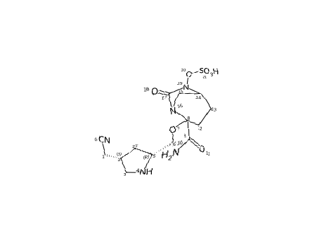 N#CC[C@H]1CN[C@@H](COC2(C(N)=O)CCC3CN2C(=O)N3OS(=O)(=O)O)C1